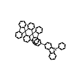 c1ccc(-n2c3ccccc3c3cc(-c4ccc(-c5cccc6c5C5(c7ccccc7-c7ccccc75)c5ccccc5C65c6ccccc6-c6ccccc65)cc4)ccc32)cc1